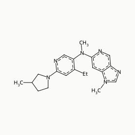 CCc1cc(N2CCC(C)C2)ncc1N(C)c1cc2c(cn1)ncn2C